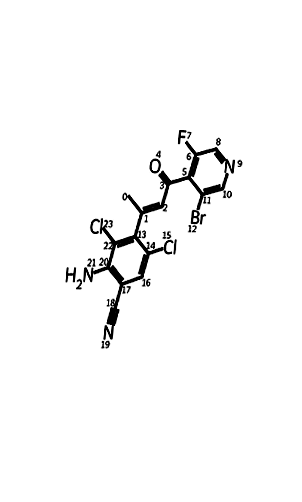 CC(=CC(=O)c1c(F)cncc1Br)c1c(Cl)cc(C#N)c(N)c1Cl